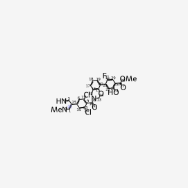 CN/C=C(\C=N)c1cc(Cl)c(C(=O)N2COc3c(cccc3-c3cc(O)c(C(=O)OC)cc3F)C2)c(Cl)c1